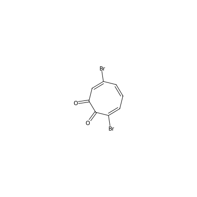 O=c1cc(Br)cccc(Br)c1=O